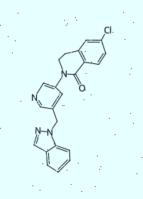 O=C1c2ccc(Cl)cc2CCN1c1cncc(Cn2ncc3ccccc32)c1